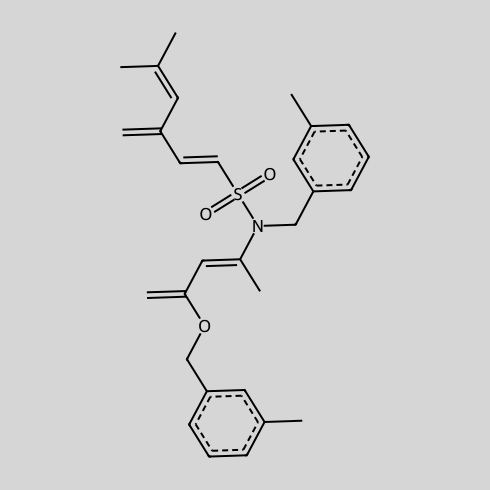 C=C(C=C(C)C)/C=C/S(=O)(=O)N(Cc1cccc(C)c1)/C(C)=C/C(=C)OCc1cccc(C)c1